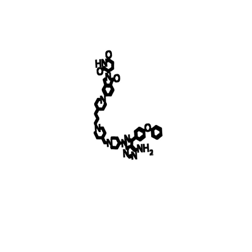 Nc1ncnc2c1c(-c1ccc(Oc3ccccc3)cc1)nn2C1CCN(CC2CCN(CCCC3CCN(c4ccc5c(c4)CN(C4CCC(=O)NC4=O)C5=O)CC3)CC2)CC1